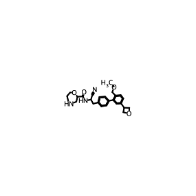 COCc1ccc(C2COC2)cc1-c1ccc(CC(C#N)NC(=O)C2CNCCCO2)cc1